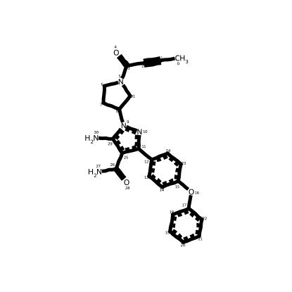 CC#CC(=O)N1CCC(n2nc(-c3ccc(Oc4ccccc4)cc3)c(C(N)=O)c2N)C1